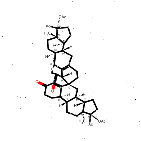 CC(=O)O[C@]1(C(C)=O)CC[C@H]2[C@@H]3C[C@@]4(CCC5=C6[C@H]4C(=O)CC[C@@H]6[C@H]4CC[C@@]6(C)[C@@H](CC[C@]6(OC(C)=O)C(C)=O)[C@@H]4C5)C4=CC(=O)CC[C@@H]4[C@H]3CC[C@@]21C